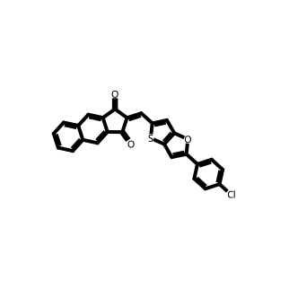 O=C1C(=Cc2cc3oc(-c4ccc(Cl)cc4)cc3s2)C(=O)c2cc3ccccc3cc21